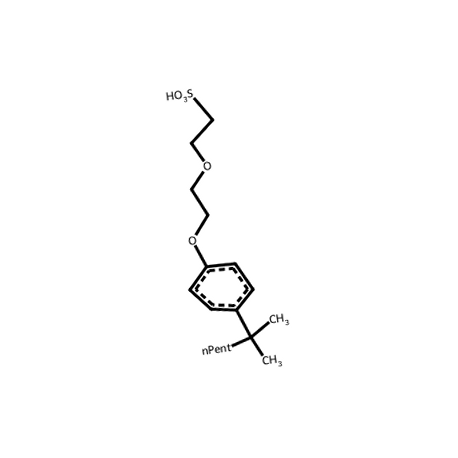 CCCCCC(C)(C)c1ccc(OCCOCCS(=O)(=O)O)cc1